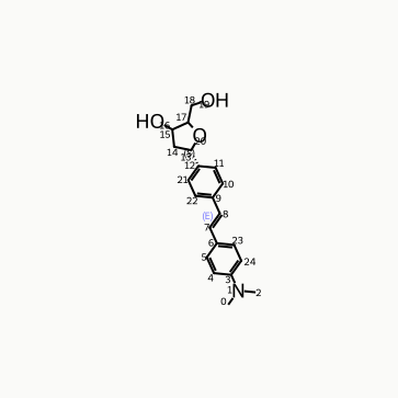 CN(C)c1ccc(/C=C/c2ccc([C@@H]3CC(O)C(CO)O3)cc2)cc1